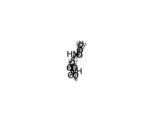 CCOC(=O)NCS(=O)(=O)c1ccc(CCNC(=O)COc2ccccc2)cc1